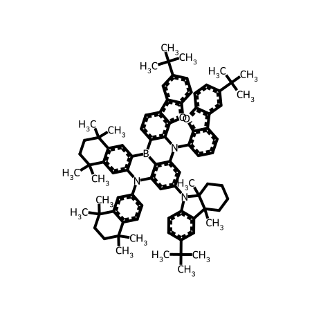 CC(C)(C)c1ccc2c(c1)C1(C)CCCCC1(C)N2c1cc2c3c(c1)N(c1cccc4c1oc1ccc(C(C)(C)C)cc14)c1c(ccc4c1oc1ccc(C(C)(C)C)cc14)B3c1cc3c(cc1N2c1ccc2c(c1)C(C)(C)CCC2(C)C)C(C)(C)CCC3(C)C